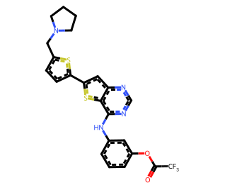 O=C(Oc1cccc(Nc2ncnc3cc(-c4ccc(CN5CCCC5)s4)sc23)c1)C(F)(F)F